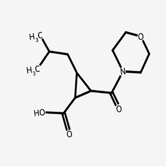 CC(C)CC1C(C(=O)O)C1C(=O)N1CCOCC1